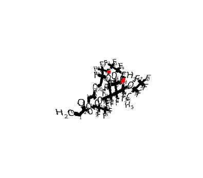 C=CC(=O)OCC(F)(OC(F)(F)C(F)(C(F)(F)OC(F)(COC(=O)C=C)C(F)(F)F)C(F)(C(F)(F)OC(C)(F)C(F)(F)F)C(F)(F)OC(C)(F)C(F)(F)F)C(F)(F)F